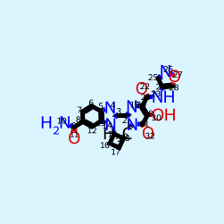 Cn1c(-c2nc3ccc(C(N)=O)cc3n2C2CCC2)nc(C(=O)Nc2cnoc2)c(O)c1=O